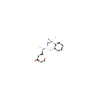 C[C@H](c1cc(=O)cco1)N1Cc2ccccc2[C@H]2C[C@H]21